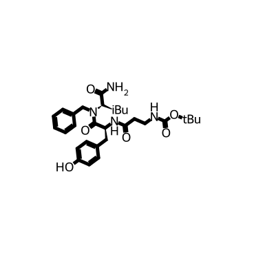 CC[C@H](C)[C@@H](C(N)=O)N(Cc1ccccc1)C(=O)[C@H](Cc1ccc(O)cc1)NC(=O)CCNC(=O)OC(C)(C)C